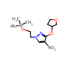 CC(C)(C)[Si](C)(C)OCCn1cc([N+](=O)[O-])c(OC2CCOC2)n1